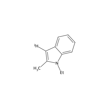 [2H]c1c(C)n(CC)c2ccccc12